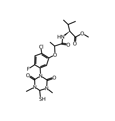 COC(=O)[C@@H](NC(=O)C(C)Oc1cc(N2C(=O)N(C)C(S)N(C)C2=O)c(F)cc1Cl)C(C)C